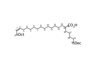 CCCCCCCC/C=C\CCCCCCCCCCCCC(CCCCCCCCCCCCCC)C(=O)O